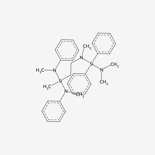 CN(c1ccccc1)[Si](C)(CCN(C)[Si](c1ccccc1)(c1ccccc1)N(C)C)N(C)c1ccccc1